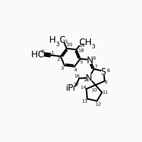 C#Cc1ccc(/N=C2/SCC3(CCCC3)N2CC(C)C)c(C)c1C